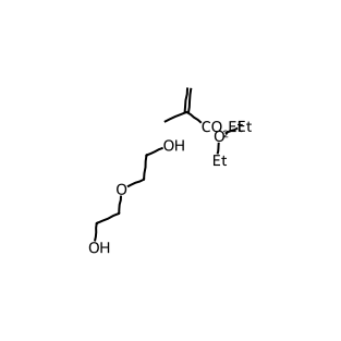 C=C(C)C(=O)OCC.CCOCC.OCCOCCO